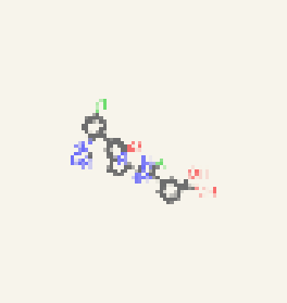 O=c1cc(-c2cc(Cl)ccc2-n2cnnn2)cc2n1[C@H](c1nc(Cl)c(-c3cccc(B(O)O)c3)[nH]1)CC2